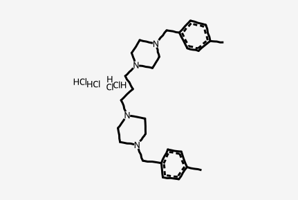 Cc1ccc(CN2CCN(CCCN3CCN(Cc4ccc(C)cc4)CC3)CC2)cc1.Cl.Cl.Cl.Cl